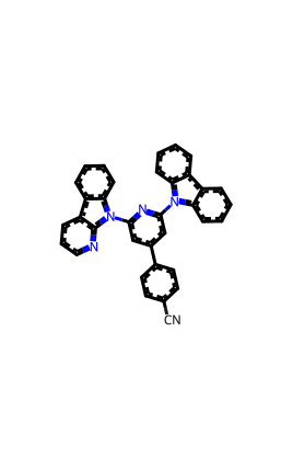 N#Cc1ccc(-c2cc(-n3c4ccccc4c4ccccc43)nc(-n3c4ccccc4c4cccnc43)c2)cc1